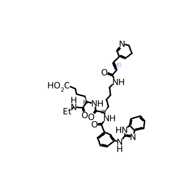 CCNC(=O)[C@@H](CCCC(=O)O)NC(=O)[C@@H](CCCCNC(=O)/C=C/C1=CCCN=C1)NC(=O)c1cccc(Nc2nc3ccccc3[nH]2)c1